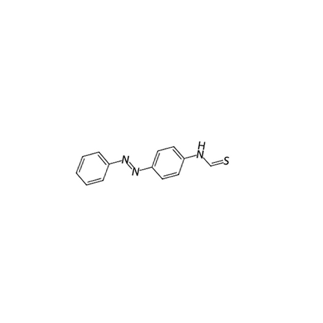 S=CNc1ccc(N=Nc2ccccc2)cc1